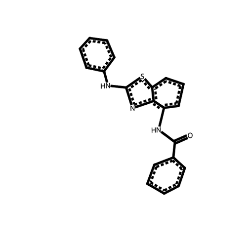 O=C(Nc1cccc2sc(Nc3ccccc3)nc12)c1ccccc1